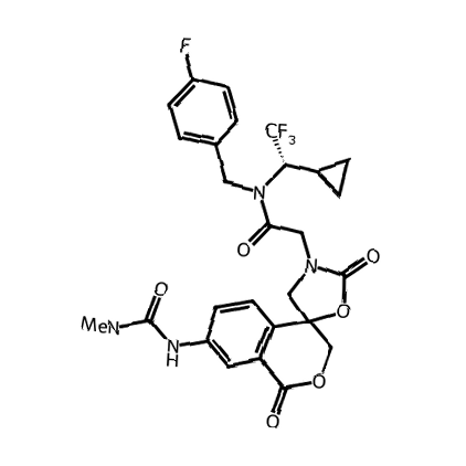 CNC(=O)Nc1ccc2c(c1)C(=O)OCC21CN(CC(=O)N(Cc2ccc(F)cc2)[C@@H](C2CC2)C(F)(F)F)C(=O)O1